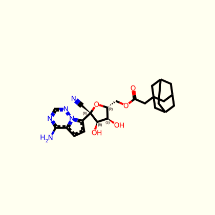 N#C[C@@]1(c2ccc3c(N)ncnn23)O[C@H](COC(=O)CC23CC4CC(CC(C4)C2)C3)[C@@H](O)[C@H]1O